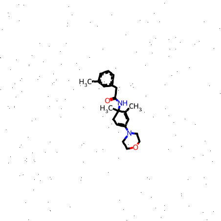 CC1=CC(N2CCOCC2)=CCC1(C)NC(=O)Cc1cccc(C)c1